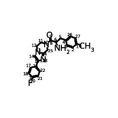 Cc1ccc(CC(N)C(=O)N2CCn3cc(-c4ccc(F)cc4)nc3C2)cc1